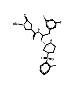 CCCCN1CC(C(=O)NC(Cc2cc(F)cc(F)c2)C[C@H]2CN(S(=O)(=O)c3ccccc3C)CCN2)CC1=O